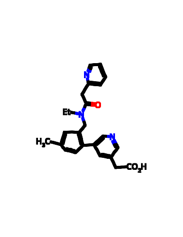 CCN(Cc1cc(C)ccc1-c1cncc(CC(=O)O)c1)C(=O)Cc1ccccn1